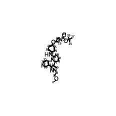 COCCn1cc(-c2ccnc(Nc3ccc(OC4CN(C(=O)OC(C)(C)C)C4)cc3)n2)c(-c2cccnc2)n1